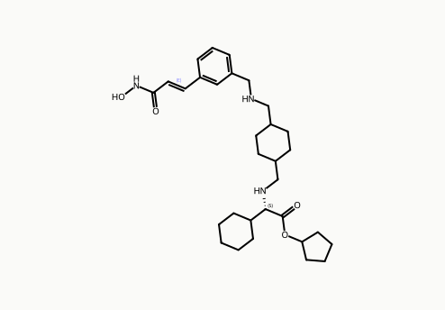 O=C(/C=C/c1cccc(CNCC2CCC(CN[C@H](C(=O)OC3CCCC3)C3CCCCC3)CC2)c1)NO